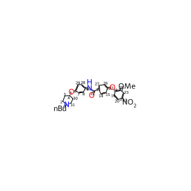 CCCCN1CCC(Oc2ccc(NC(=O)c3ccc(Oc4ccc([N+](=O)[O-])cc4OC)cc3)cc2)CC1